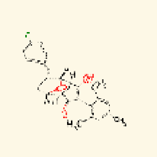 Cc1cc(C)c(C2=C(O)[C@@H]3[C@@H]4O[C@@H](C[C@@H]4c4ccc(F)cc4)[C@@H]3C2=O)c(C)c1